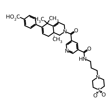 CC1(C)C(c2ccc(C(=O)O)cc2)=CC[C@]2(C)CN(C(=O)c3cncc(C(=O)NCCCN4CCS(=O)(=O)CC4)c3)CC=C12